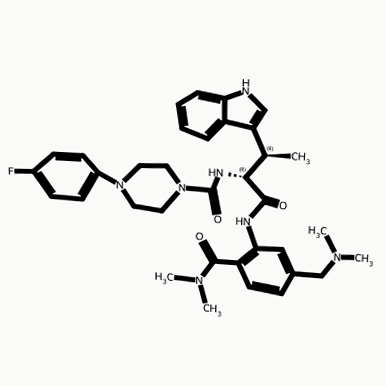 C[C@H](c1c[nH]c2ccccc12)[C@@H](NC(=O)N1CCN(c2ccc(F)cc2)CC1)C(=O)Nc1cc(CN(C)C)ccc1C(=O)N(C)C